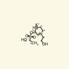 CCS(=O)(=O)O.OCCN1CCNCC1.[K+].[OH-]